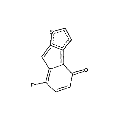 O=C1C=CC(F)=C2C=c3sccc3=C12